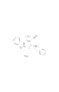 Cn1nc(C(O)=C(C#N)C(=O)NCc2ccccc2)c2ccccc21.[Na]